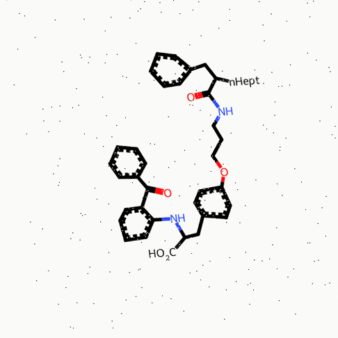 CCCCCCCC(Cc1ccccc1)C(=O)NCCCOc1ccc(CC(Nc2ccccc2C(=O)c2ccccc2)C(=O)O)cc1